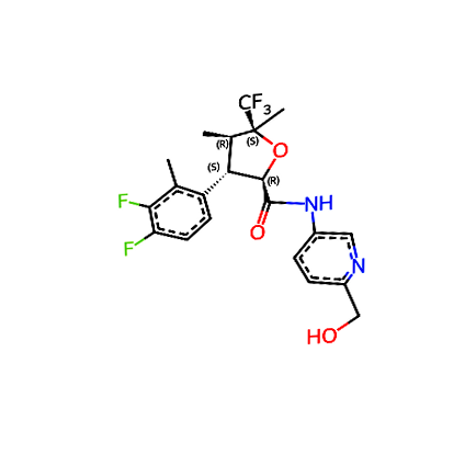 Cc1c([C@@H]2[C@@H](C)[C@@](C)(C(F)(F)F)O[C@H]2C(=O)Nc2ccc(CO)nc2)ccc(F)c1F